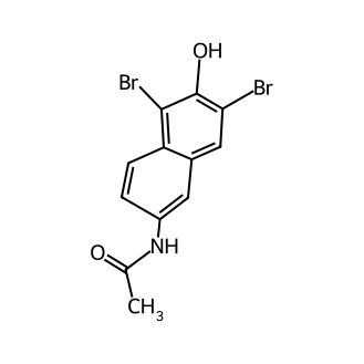 CC(=O)Nc1ccc2c(Br)c(O)c(Br)cc2c1